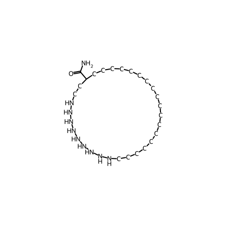 NC(=O)C1CCCCCCCCCCCCCCCCCCNNNNNNNNNCC1